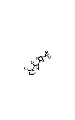 O=C(Nc1ncc([N+](=O)[O-])s1)c1sccc1Cl